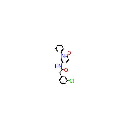 O=C(Cc1cccc(Cl)c1)Nc1ccc(=O)n(-c2ccccc2)c1